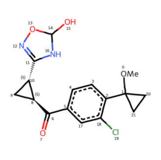 COC1(c2ccc(C(=O)[C@H]3C[C@@H]3C3=NOC(O)N3)cc2Cl)CC1